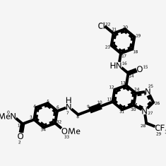 CNC(=O)c1ccc(NCC#Cc2cc(C(=O)Nc3cccc(Cl)c3)c3ncn(CC(F)(F)F)c3c2)c(OC)c1